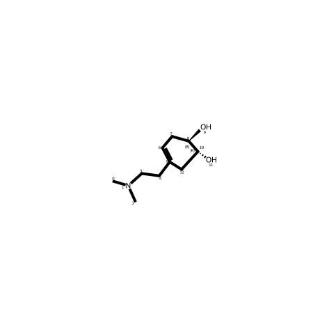 CN(C)CCC1=CC[C@@H](O)[C@H](O)C1